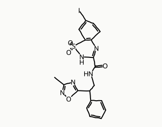 Cc1noc(C(CNC(=O)C2=Nc3ccc(I)cc3S(=O)(=O)N2)c2ccccc2)n1